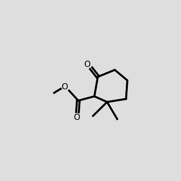 COC(=O)C1C(=O)CCCC1(C)C